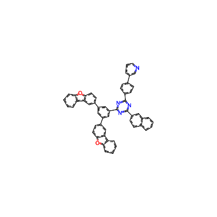 c1cncc(-c2ccc(-c3nc(-c4cc(-c5ccc6oc7ccccc7c6c5)cc(-c5ccc6oc7ccccc7c6c5)c4)nc(-c4ccc5ccccc5c4)n3)cc2)c1